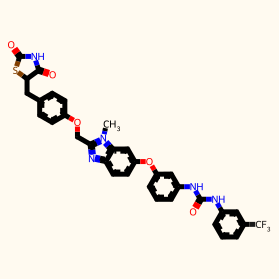 Cn1c(COc2ccc(CC3SC(=O)NC3=O)cc2)nc2ccc(Oc3cccc(NC(=O)Nc4cccc(C(F)(F)F)c4)c3)cc21